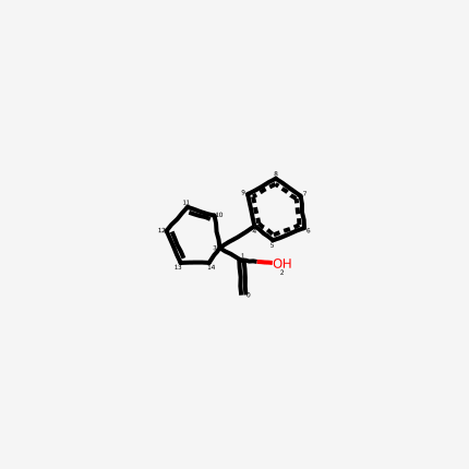 C=C(O)C1(c2ccccc2)C=CC=CC1